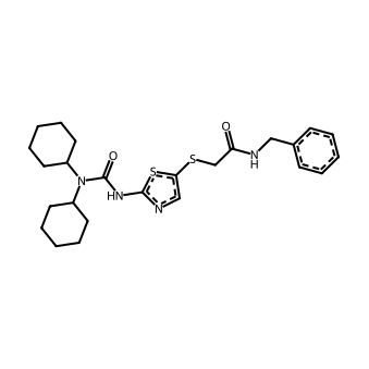 O=C(CSc1cnc(NC(=O)N(C2CCCCC2)C2CCCCC2)s1)NCc1ccccc1